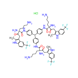 Cc1[nH]c2ccc(C(F)(F)F)cc2c1CC(=O)[C@@](N)(CCCCN)C(=O)Nc1ccc(C(c2ccc(NC(=O)[C@](N)(CCCCN)C(=O)Cc3c(C)[nH]c4ccc(C(F)(F)F)cc34)cc2)c2ccc(NC(=O)[C@](N)(CCCCN)C(=O)Cc3c(C)[nH]c4ccc(C(F)(F)F)cc34)cc2)cc1.Cl